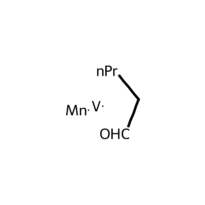 CCCCC=O.[Mn].[V]